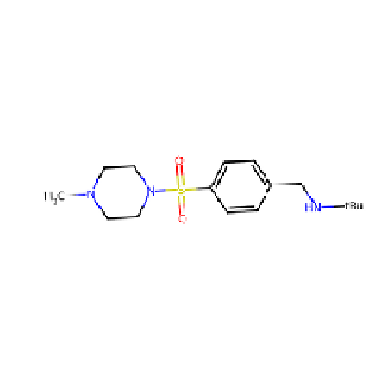 CN1CCN(S(=O)(=O)c2ccc(CNC(C)(C)C)cc2)CC1